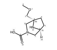 COC[C@@]12CC[C@@H](CN(C(=O)O)C1)N2